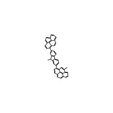 Cc1cc2c(-c3ccc4c(c3)C(C)c3cc(-c5ccc6ccc7cccc8ccc5c6c78)ccc3-4)ccc3ccc4cccc1c4c32